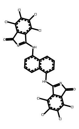 O=C1N=C(Nc2cccc3c(NC4=NC(=O)c5c(Cl)c(Cl)c(Cl)c(Cl)c54)cccc23)c2c(Cl)c(Cl)c(Cl)c(Cl)c21